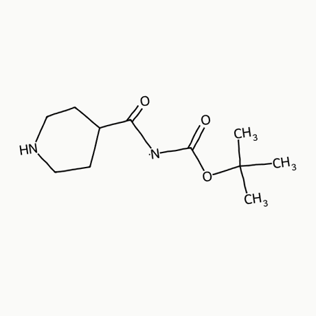 CC(C)(C)OC(=O)[N]C(=O)C1CCNCC1